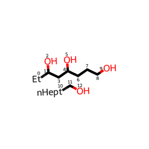 CCC(O)CC(O)CCCO.CCCCCCCCO